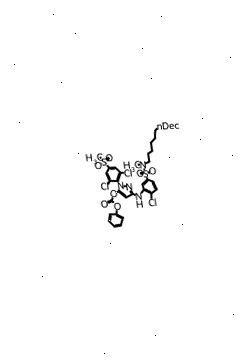 CCCCCCCCCCCCCCCCN(C)S(=O)(=O)c1ccc(Cl)c(Nc2cc(OC(=O)Oc3ccccc3)n(-c3c(Cl)cc(S(C)(=O)=O)cc3Cl)n2)c1